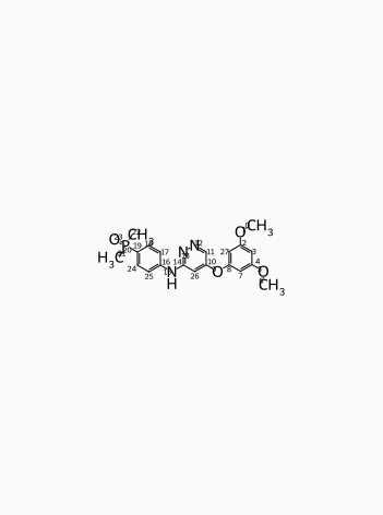 COc1cc(OC)cc(Oc2cnnc(Nc3ccc(P(C)(C)=O)cc3)c2)c1